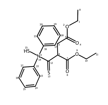 CCOC(=O)CC(C(=O)OCC)C(=S)[N+](S)(c1ccccc1)c1ccccc1